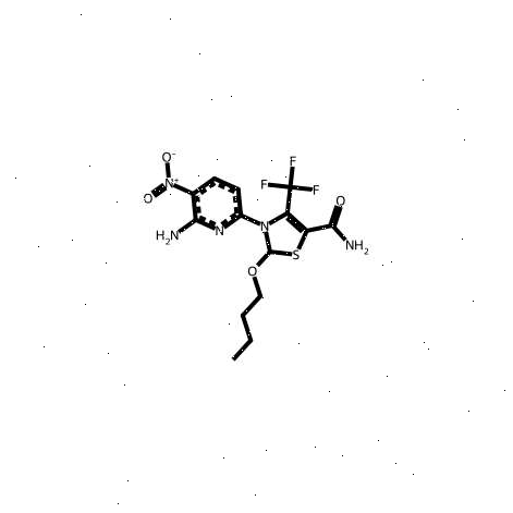 CCCCOC1SC(C(N)=O)=C(C(F)(F)F)N1c1ccc([N+](=O)[O-])c(N)n1